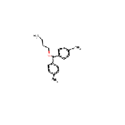 CCCCOB(c1ccc(C)cc1)c1ccc(C)cc1